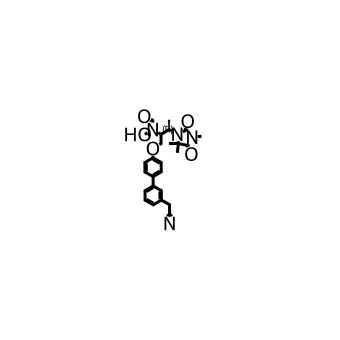 C[C@H](C(COc1ccc(-c2cccc(CC#N)c2)cc1)N(O)C=O)N1C(=O)N(C)C(=O)C1(C)C